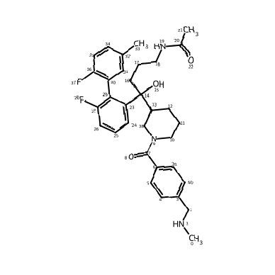 CNCc1ccc(C(=O)N2CCCC(C(O)(CCCNC(C)=O)c3cccc(F)c3-c3cc(C)ccc3F)C2)cc1